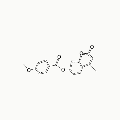 COc1ccc(C(=O)Oc2ccc3c(C)cc(=O)oc3c2)cc1